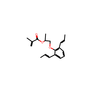 C=C(C)C(=O)OC(C)COc1c(C=CC)cccc1C=CC